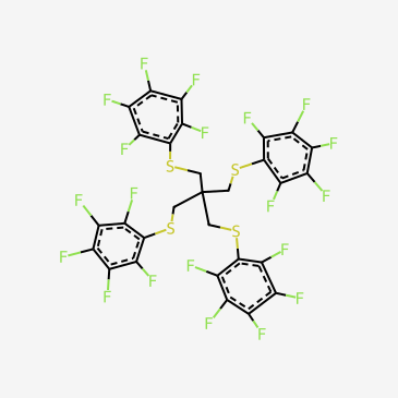 Fc1c(F)c(F)c(SCC(CSc2c(F)c(F)c(F)c(F)c2F)(CSc2c(F)c(F)c(F)c(F)c2F)CSc2c(F)c(F)c(F)c(F)c2F)c(F)c1F